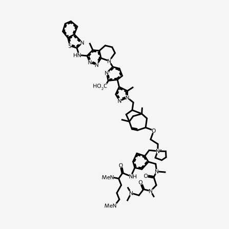 CNCCCC(NC)C(=O)Nc1ccc(C[N+]2(CCOC3C=CC4(C)CC(Cn5ncc(-c6ccc(N7CCCc8c7nnc(Nc7nc9ccccc9s7)c8C)nc6C(=O)O)c5C)C(C)(C3)C4)CCCC2)c(CN(C)C(=O)CN(C)C(=O)CN(C)C)c1